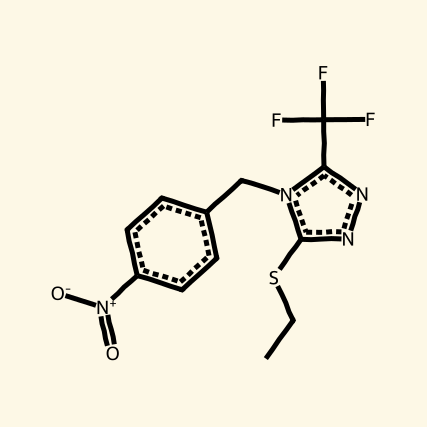 CCSc1nnc(C(F)(F)F)n1Cc1ccc([N+](=O)[O-])cc1